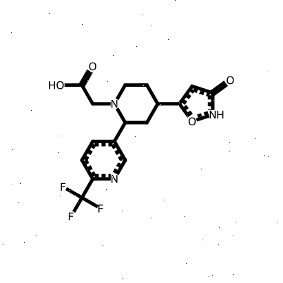 O=C(O)CN1CCC(c2cc(=O)[nH]o2)CC1c1ccc(C(F)(F)F)nc1